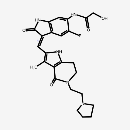 Cc1c(/C=C2/C(=O)Nc3cc(NC(=O)CO)c(F)cc32)[nH]c2c1C(=O)N(CCN1CCCC1)CC2